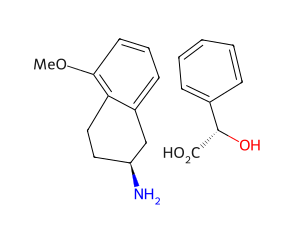 COc1cccc2c1CC[C@H](N)C2.O=C(O)[C@@H](O)c1ccccc1